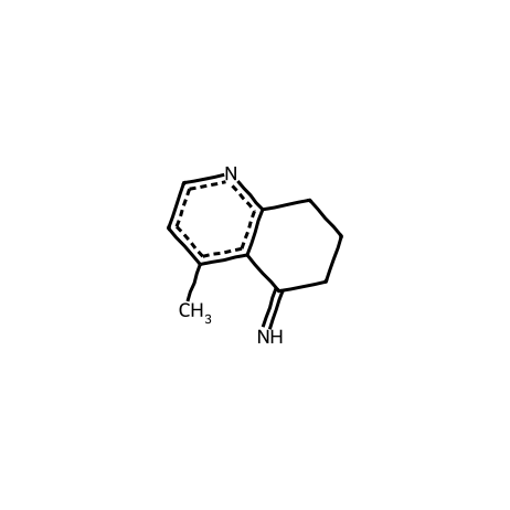 Cc1ccnc2c1C(=N)CCC2